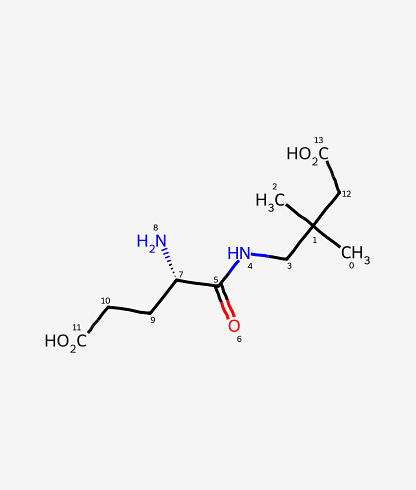 CC(C)(CNC(=O)[C@@H](N)CCC(=O)O)CC(=O)O